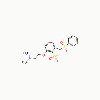 CN(C)CCOc1cccc2c1S(=O)(=O)CC2S(=O)(=O)c1ccccc1